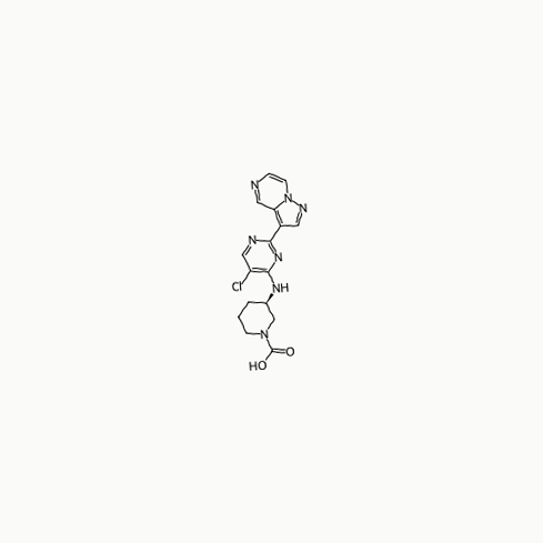 O=C(O)N1CCC[C@@H](Nc2nc(-c3cnn4ccncc34)ncc2Cl)C1